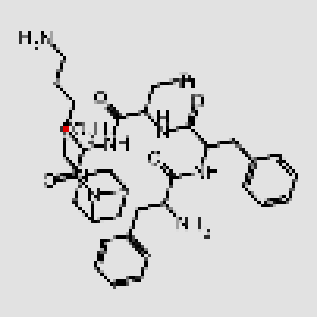 CC(C)CC(NC(=O)C(Cc1ccccc1)NC(=O)C(N)Cc1ccccc1)C(=O)NC(CCCCN)C(=O)N1C2CC1CN(CC(=O)O)C2